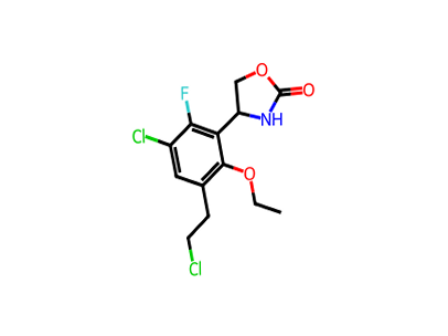 CCOc1c(CCCl)cc(Cl)c(F)c1C1COC(=O)N1